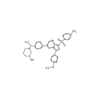 COc1ccc(-c2cn(S(=O)(=O)c3ccc(C)cc3)c3ncc(-c4ccc(C(C)N5CCCC(O)C5)cc4)cc23)cn1